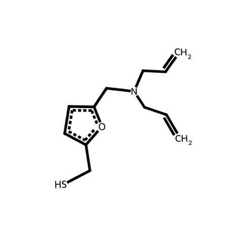 C=CCN(CC=C)Cc1ccc(CS)o1